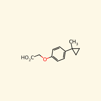 CC1(c2ccc(OCC(=O)O)cc2)CC1